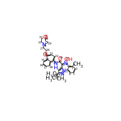 Cc1cccc(-n2nc(C(C)(C)C)cc2/C(=N/O)C(=O)Nc2ccc(OCCN3CCOCC3)c3ccccc23)c1